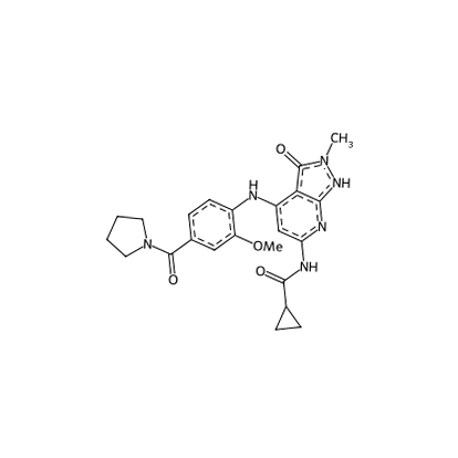 COc1cc(C(=O)N2CCCC2)ccc1Nc1cc(NC(=O)C2CC2)nc2[nH]n(C)c(=O)c12